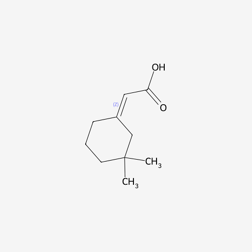 CC1(C)CCC/C(=C/C(=O)O)C1